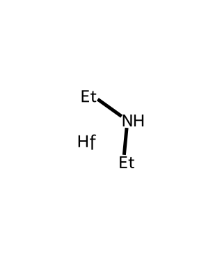 CCNCC.[Hf]